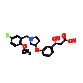 COc1ccc(F)cc1CN1CCC(Oc2cccc([C@H](O)CC(=O)O)c2)C1